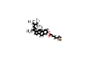 CCC(/C=C/C(C)C1CCC2C3CC=C4C[C@@H](OC(=O)CCCCC5CCSS5)CC[C@]4(C)C3CC[C@]12C)C(C)C